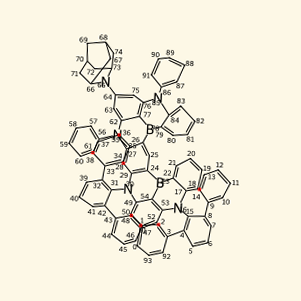 c1ccc(-c2cccc(-c3ccccc3)c2N2c3ccccc3B3c4cc5c(cc4N(c4c(-c6ccccc6)cccc4-c4ccccc4)c4cccc2c43)N(c2ccccc2)c2cc(N3C4CC6CC(C4)CC3C6)cc3c2B5c2ccccc2N3c2ccccc2)cc1